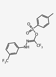 Cc1ccc(S(=O)(=O)OC(=NNc2cccc(C(F)(F)F)c2)C(F)(F)F)cc1